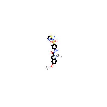 Cn1c(C(=O)Nc2ccc(S(=O)(=O)Nc3nccs3)cc2)cc2cc(OC(F)(F)F)ccc21